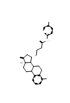 C[C@]12CCC3c4cccc(F)c4CCC3C1[C@H](CCCC(=O)Nc1ccc(C#N)cn1)CC2=O